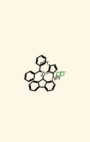 CCCC1=[C]([Zr+2](=[C](c2ccccc2)c2ccccc2)[CH]2c3ccccc3-c3ccccc32)C(CCC)C=C1.[Cl-].[Cl-]